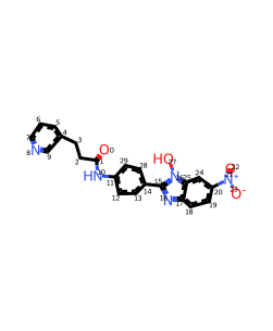 O=C(CCc1cccnc1)Nc1ccc(-c2nc3ccc([N+](=O)[O-])cc3n2O)cc1